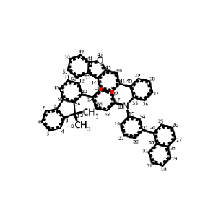 CC1(C)c2ccccc2-c2cccc(-c3ccc(N(c4cccc(-c5cccc6ccccc56)c4)c4ccccc4-c4ccc5c(c4)oc4ccccc45)cc3)c21